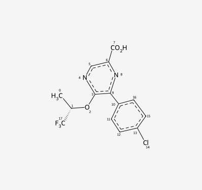 C[C@H](Oc1ncc(C(=O)O)nc1-c1ccc(Cl)cc1)C(F)(F)F